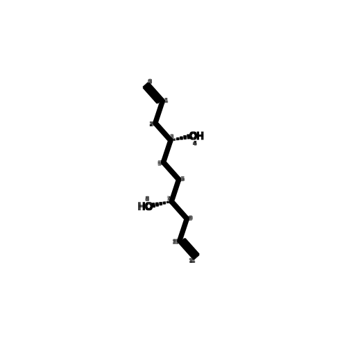 C=CC[C@H](O)CC[C@@H](O)CC=C